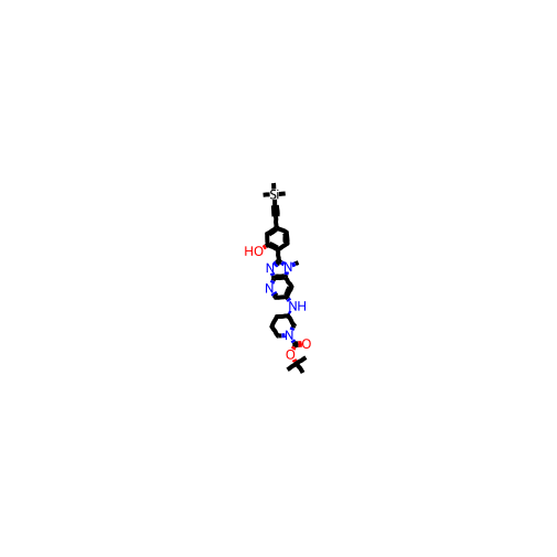 Cn1c(-c2ccc(C#C[Si](C)(C)C)cc2O)nc2ncc(N[C@@H]3CCCN(C(=O)OC(C)(C)C)C3)cc21